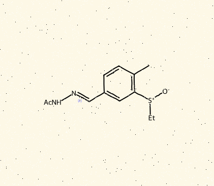 CC[S+]([O-])c1cc(/C=N/NC(C)=O)ccc1C